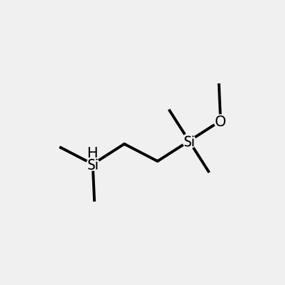 CO[Si](C)(C)CC[SiH](C)C